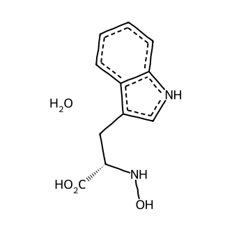 O.O=C(O)[C@H](Cc1c[nH]c2ccccc12)NO